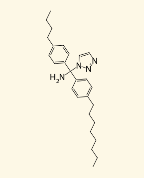 CCCCCCCCc1ccc(C(N)(c2ccc(CCCC)cc2)n2ccnn2)cc1